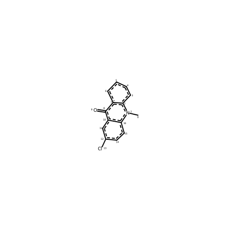 Cn1c2ccccc2c(=O)c2cc(Cl)ccc21